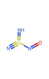 N#S(=N)N=O